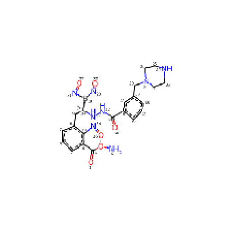 NOC(=O)c1cccc(C[C@H](NNC(=O)c2cccc(CN3CCNCC3)c2)B(N=O)N=O)c1N=O